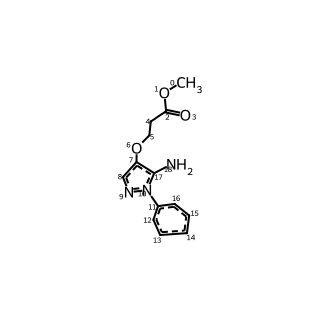 COC(=O)CCOc1cnn(-c2ccccc2)c1N